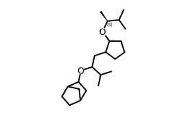 CC(C)C(CC1CCCC1O[C@@H](C)C(C)C)OC1CC2CCC1C2